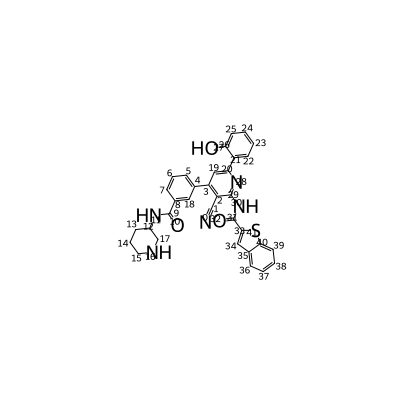 N#Cc1c(-c2cccc(C(=O)NC3CCCNC3)c2)cc(-c2ccccc2O)nc1NC(=O)c1cc2ccccc2s1